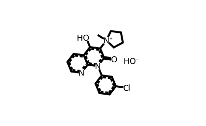 C[N+]1(c2c(O)c3cccnc3n(-c3cccc(Cl)c3)c2=O)CCCC1.[OH-]